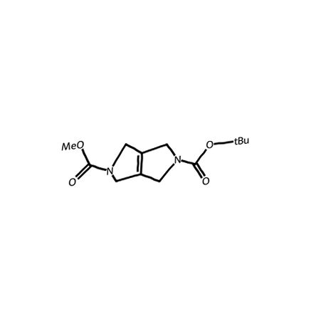 COC(=O)N1CC2=C(C1)CN(C(=O)OC(C)(C)C)C2